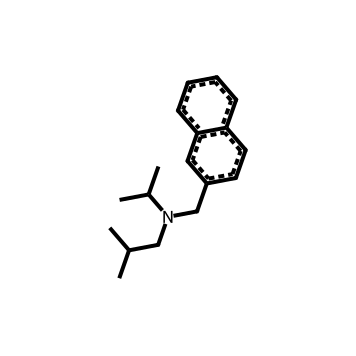 CC(C)CN(Cc1ccc2ccccc2c1)C(C)C